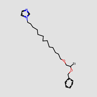 CCC(COCCCCCCCCCCCCCn1ccnc1)OCc1ccccc1